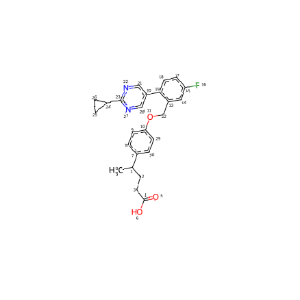 CC(CCC(=O)O)c1ccc(OCc2cc(F)ccc2-c2cnc(C3CC3)nc2)cc1